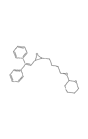 C(=C(c1ccccc1)c1ccccc1)C1OC1CCCCOC1CCCCO1